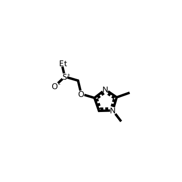 CC[S+]([O-])COc1cn(C)c(C)n1